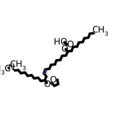 CCCCCCCCCCC(CCCCCCC/C=C\CC(CCCCCCCCCN(C)C)OC1CCCO1)OC(=O)O